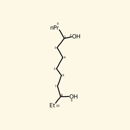 CCCC(O)CCCCCC(O)CC